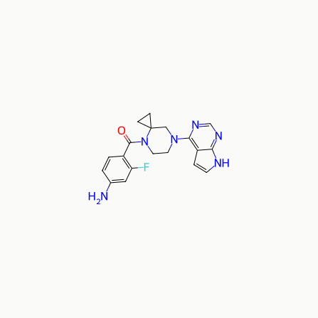 Nc1ccc(C(=O)N2CCN(c3ncnc4[nH]ccc34)CC23CC3)c(F)c1